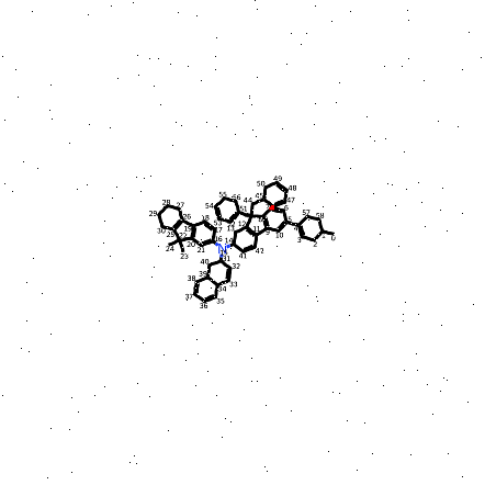 CC1CC=C(c2ccc3c(c2)C2=C(CC(N(c4ccc5c(c4)C(C)(C)C4=C5CCCC4)C4C=CC5C=CC=CC5C4)C=C2)C3(CC2C=CC=CC2)C2=CC=CCC2)CC1